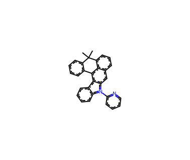 CC1(C)c2ccccc2-c2c3c1cccc3cc1c2c2ccccc2n1-c1ccccn1